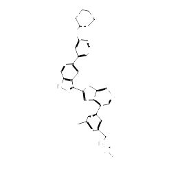 CS(=O)(=O)NCc1cc(F)cc(-c2cncc3[nH]c(-c4n[nH]c5ccc(-c6cncc(OC7CCCCC7)c6)cc45)cc23)c1